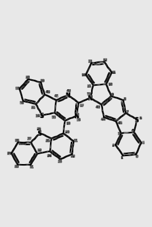 c1ccc2c(c1)sc1cc3c4ccccc4n(-c4nc(-c5cccc6c5sc5ccccc56)c5sc6ccccc6c5n4)c3cc12